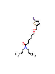 C=CCN(CC=C)C(=O)CCCCCOCc1ccc(I)s1